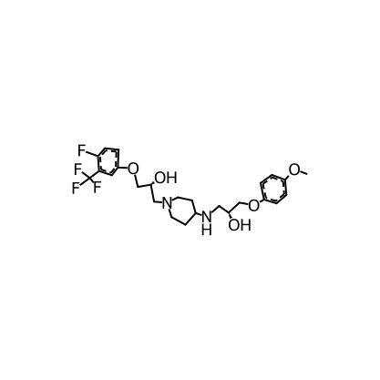 COc1ccc(OC[C@@H](O)CNC2CCN(C[C@H](O)COc3ccc(F)c(C(F)(F)F)c3)CC2)cc1